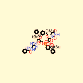 COCCO[C@@H]1[C@H](O[P@@](O)(=S)OC[C@H]2O[C@@H](n3cnc4c(NC(=O)c5ccccc5)ncnc43)[C@H](F)[C@@H]2O[Si](c2ccccc2)(c2ccccc2)C(C)(C)C)[C@@H](CO[Si](c2ccccc2)(c2ccccc2)C(C)(C)C)O[C@H]1n1ccc(=O)[nH]c1=O